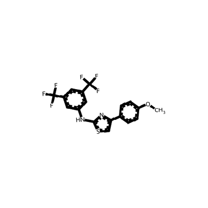 COc1ccc(-c2csc(Nc3cc(C(F)(F)F)cc(C(F)(F)F)c3)n2)cc1